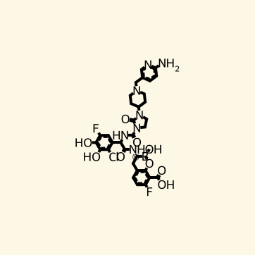 Nc1ccc(CN2CCC(N3CCN(C(=O)NC(C(=O)N[C@H]4Cc5ccc(F)c(C(=O)O)c5OB4O)c4cc(F)c(O)c(O)c4Cl)C3=O)CC2)cn1